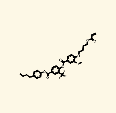 C=CC(=O)OCCCCOc1ccc(C(=O)Oc2ccc(C(=O)Oc3ccc(CCCC)cc3)cc2C(F)(F)F)cc1OC